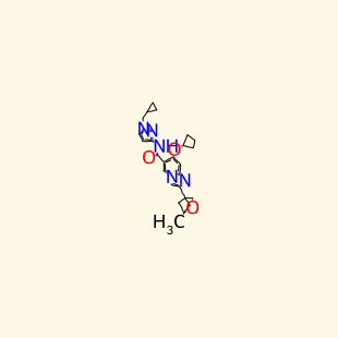 CC12CC(c3cn4cc(C(=O)Nc5ccn(CC6CC6)n5)c(OC5CCC5)cc4n3)(CO1)C2